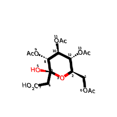 CC(=O)OC[C@H]1O[C@](O)(CC(=O)O)[C@H](OC(C)=O)[C@@H](OC(C)=O)[C@@H]1OC(C)=O